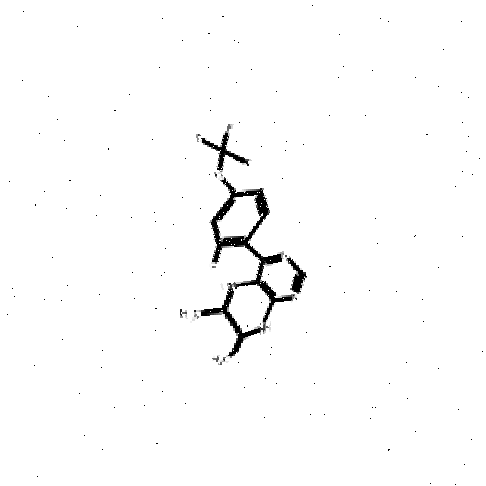 CC1Nc2ncnc(-c3ccc(OC(F)(F)F)cc3F)c2NC1C